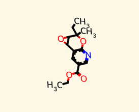 CCOC(=O)c1cnc2c(c1)C1OC1C(C)(CC)O2